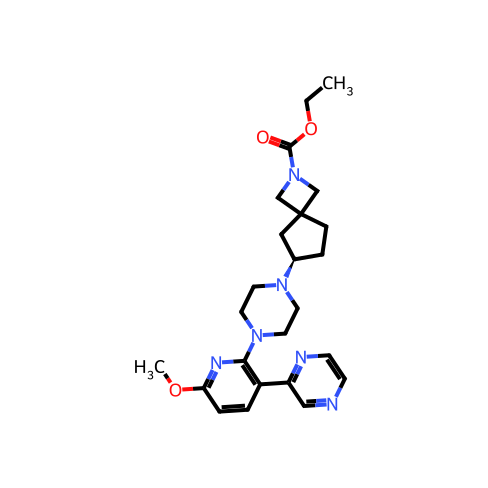 CCOC(=O)N1CC2(CC[C@@H](N3CCN(c4nc(OC)ccc4-c4cnccn4)CC3)C2)C1